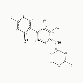 Cc1cnc(-c2nnc(NC3CCCN(C)C3)c(C)c2C)c(O)c1